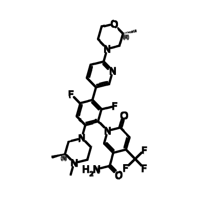 C[C@@H]1CN(c2ccc(-c3c(F)cc(N4CCN(C)[C@@H](C)C4)c(-n4cc(C(N)=O)c(C(F)(F)F)cc4=O)c3F)cn2)CCO1